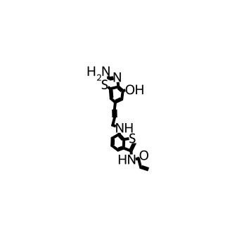 C=CC(=O)Nc1csc2c(NCC#Cc3cc(O)c4nc(N)sc4c3)cccc12